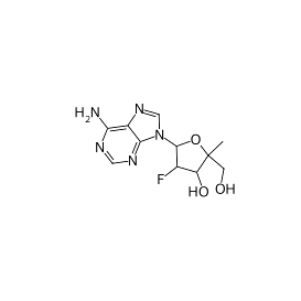 CC1(CO)OC(n2cnc3c(N)ncnc32)C(F)C1O